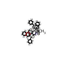 CP(=O)(/C=C/[C@@H](OCc1ccccc1)[C@@H](OCc1ccccc1)[C@H](CN(C=O)OCc1ccccc1)OCc1ccccc1)OCc1ccccc1